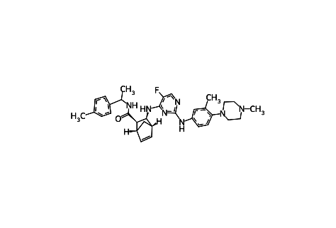 Cc1ccc(C(C)NC(=O)[C@H]2[C@@H](Nc3nc(Nc4ccc(N5CCN(C)CC5)c(C)c4)ncc3F)[C@@H]3C=C[C@H]2C3)cc1